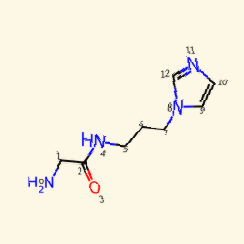 NCC(=O)NCCCn1ccnc1